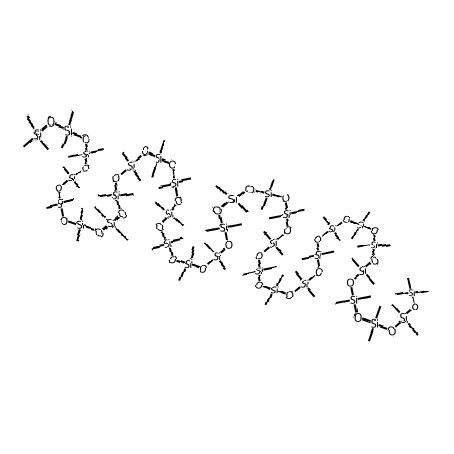 C[Si](C)(C)O[Si](C)(C)O[Si](C)(C)O[Si](C)(C)O[Si](C)(C)O[Si](C)(C)O[Si](C)(C)O[Si](C)(C)O[Si](C)(C)O[Si](C)(C)O[Si](C)(C)O[Si](C)(C)O[Si](C)(C)O[Si](C)(C)O[Si](C)(C)O[Si](C)(C)O[Si](C)(C)O[Si](C)(C)O[Si](C)(C)O[Si](C)(C)O[Si](C)(C)O[Si](C)(C)O[Si](C)(C)O[Si](C)(C)O[Si](C)(C)O[Si](C)(C)O[Si](C)(C)O[Si](C)(C)O[Si](C)(C)O[Si](C)(C)O[Si](C)(C)O[Si](C)(C)C